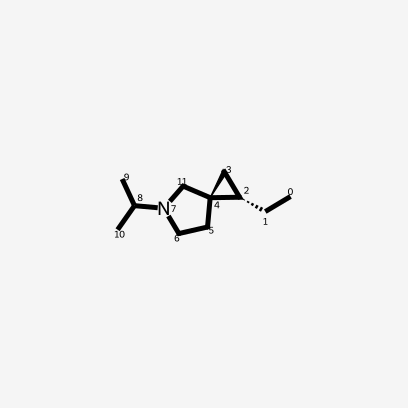 CC[C@H]1C[C@]12CCN(C(C)C)C2